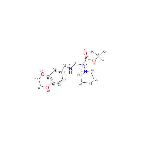 CC(C)(C)OC(=O)N(CNCc1ccc2c(c1)OCCO2)N1CCCCC1